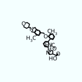 COC1C(C(=O)O)C=NN1c1cccc(-c2cccc(C)c2OCc2cc(C)c3c(c2)CN(C2CCOCC2)C3)n1